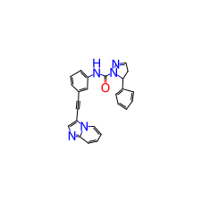 O=C(Nc1cccc(C#Cc2cnc3ccccn23)c1)N1N=CCC1c1ccccc1